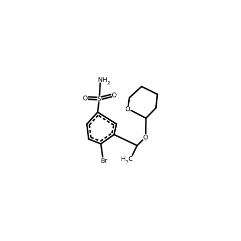 CC(OC1CCCCO1)c1cc(S(N)(=O)=O)ccc1Br